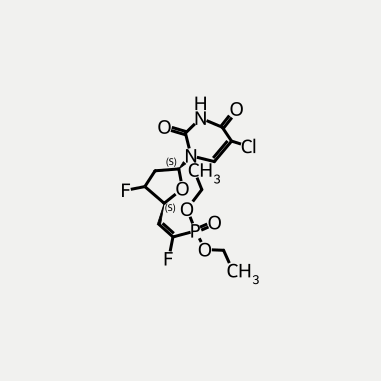 CCOP(=O)(OCC)C(F)=C[C@@H]1O[C@H](n2cc(Cl)c(=O)[nH]c2=O)CC1F